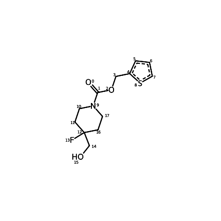 O=C(OCc1cccs1)N1CCC(F)(CO)CC1